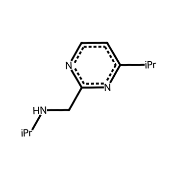 CC(C)NCc1nccc(C(C)C)n1